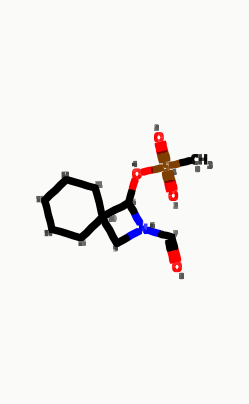 CS(=O)(=O)OC1N(C=O)CC12CCCCC2